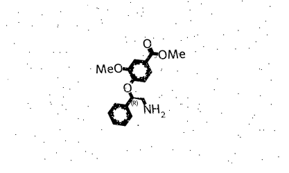 COC(=O)c1ccc(O[C@@H](CN)c2ccccc2)c(OC)c1